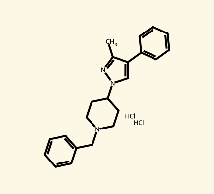 Cc1nn(C2CCN(Cc3ccccc3)CC2)cc1-c1ccccc1.Cl.Cl